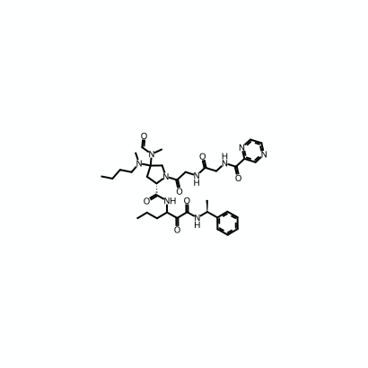 CCCCN(C)C1(N(C)C=O)C[C@@H](C(=O)NC(CCC)C(=O)C(=O)N[C@@H](C)c2ccccc2)N(C(=O)CNC(=O)CNC(=O)c2cnccn2)C1